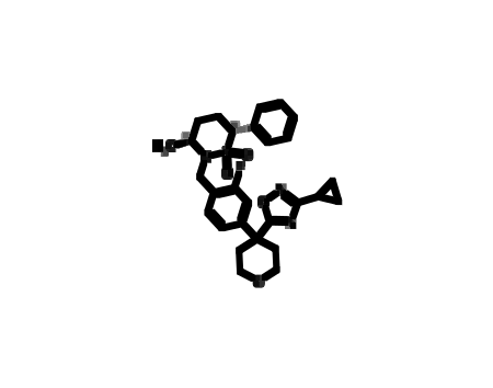 C[C@H]1CC[C@H](c2ccccc2)S(=O)(=O)N1Cc1ccc(C2(c3nc(C4CC4)no3)CCOCC2)cc1F